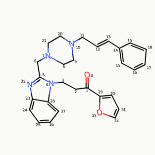 O=C(CCn1c(CN2CCN(C/C=C/c3ccccc3)CC2)nc2ccccc21)c1ccco1